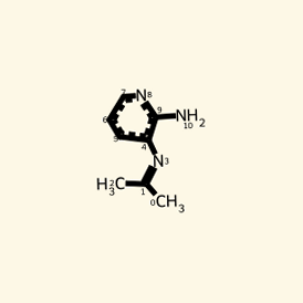 CC(C)=Nc1cccnc1N